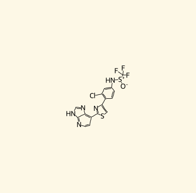 [O-][S+](Nc1ccc(-c2csc(-c3ccnc4[nH]cnc34)n2)c(Cl)c1)C(F)(F)F